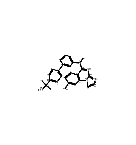 CN(c1cccc(-c2ccc(C(C)(C)O)nc2)c1)c1nc2nncn2c2cc(Cl)ccc12